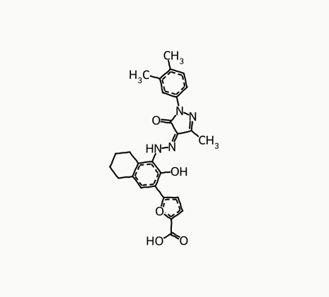 CC1=NN(c2ccc(C)c(C)c2)C(=O)/C1=N\Nc1c(O)c(-c2ccc(C(=O)O)o2)cc2c1CCCC2